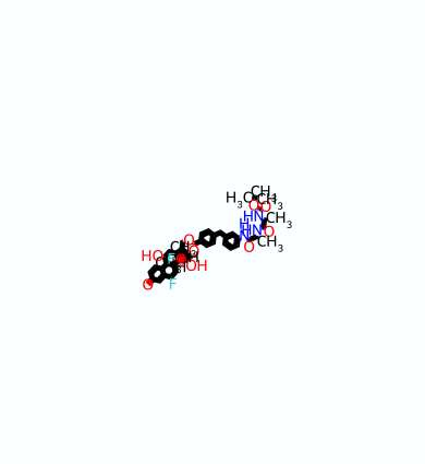 C[C@H](NC(=O)OC(C)(C)C)C(=O)N[C@@H](C)C(=O)Nc1cccc(Cc2ccc(C3OCC4(C(=O)CO)[C@@H](C[C@H]5C6C[C@H](F)C7=CC(=O)C=CC7(C)[C@@]6(F)C(O)CC54C)O3)cc2)c1